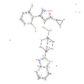 Clc1cccc(Cl)c1-c1noc(C2CC2)c1COC12CCC(c3nc4ccccc4s3)(CC1)OC2